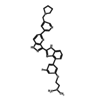 CN(C)CCOc1cc(F)cc(-c2cccc3[nH]c(-c4n[nH]c5ccc(-c6cncc(CN7CCCC7)c6)nc45)nc23)c1